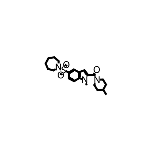 CC1CCN(C(=O)c2cc3cc(S(=O)(=O)N4CCCCCC4)ccc3n2C)CC1